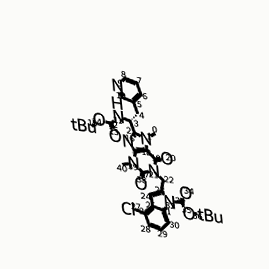 Cn1c([C@@H](Cc2cccnc2)NC(=O)OC(C)(C)C)nc2c1c(=O)n(Cc1cc3c(Cl)cccc3n1C(=O)OC(C)(C)C)c(=O)n2C